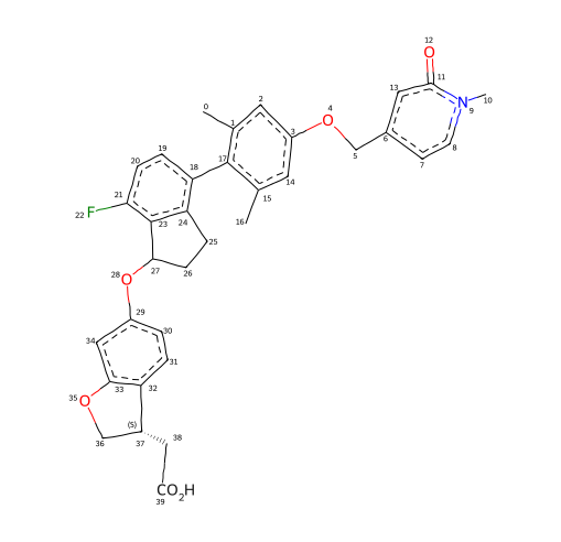 Cc1cc(OCc2ccn(C)c(=O)c2)cc(C)c1-c1ccc(F)c2c1CCC2Oc1ccc2c(c1)OC[C@H]2CC(=O)O